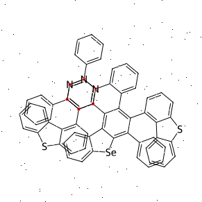 c1ccc(-c2ccccc2-c2ccccc2-c2c(-c3cccc4sc5ccccc5c34)c(-c3ccccc3)c3[se]c4ccccc4c3c2-c2nnnc(-c3ccccc3)c2-c2cccc3sc4ccccc4c23)cc1